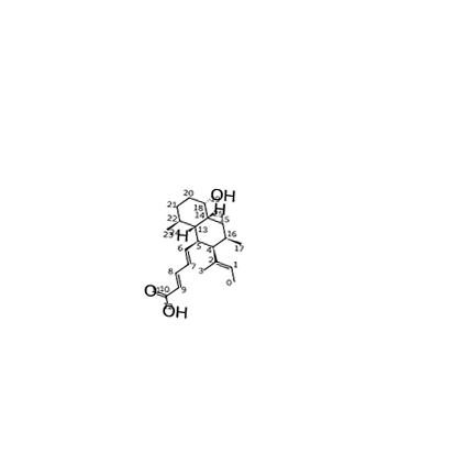 C/C=C(\C)[C@H]1[C@@H](/C=C/C=C/C(=O)O)[C@H]2[C@@H](C[C@H]1C)[C@@H](O)CC[C@@H]2C